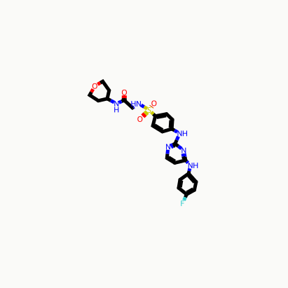 O=C(CNS(=O)(=O)c1ccc(Nc2nccc(Nc3ccc(F)cc3)n2)cc1)NC1CCOCC1